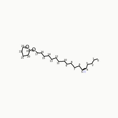 CCCC/C=C\CCCCCCCCCCCCOC1CCCCO1